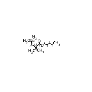 CCCCCOC(=O)C1C(C=C(C)C)C1(C)C